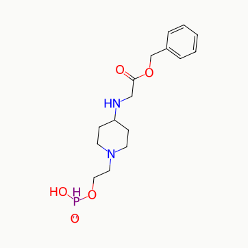 O=C(CNC1CCN(CCO[PH](=O)O)CC1)OCc1ccccc1